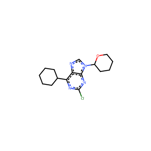 Clc1nc(C2CCCCC2)c2ncn(C3CCCCO3)c2n1